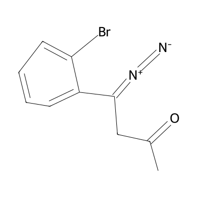 CC(=O)CC(=[N+]=[N-])c1ccccc1Br